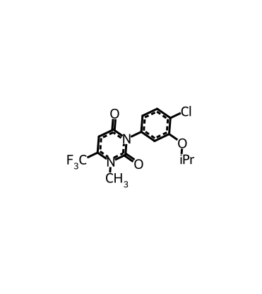 CC(C)Oc1cc(-n2c(=O)cc(C(F)(F)F)n(C)c2=O)ccc1Cl